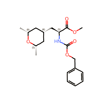 COC(=O)[C@H](C[C@H]1C[C@@H](C)O[C@@H](C)C1)NC(=O)OCc1ccccc1